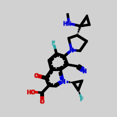 CNC1([C@@H]2CCN(c3c(F)cc4c(=O)c(C(=O)O)cn([C@@H]5C[C@@H]5F)c4c3C#N)C2)CC1